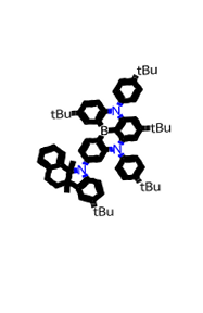 CC(C)(C)c1ccc(N2c3ccc(C(C)(C)C)cc3B3c4ccc(N5c6ccc(C(C)(C)C)cc6C6(C)CCc7ccccc7C56C)cc4N(c4ccc(C(C)(C)C)cc4)c4cc(C(C)(C)C)cc2c43)cc1